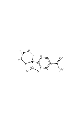 CCCC(=O)c1ccc([N+]2(N(C)C)CCOCC2)cc1